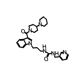 O=C(NCCCn1cc(C(=O)N2CCC(N3CCCCC3)CC2)c2ccccc21)NCc1cccnc1